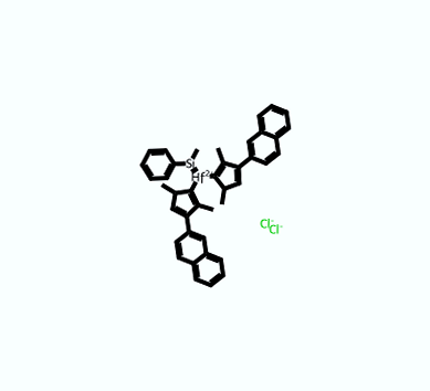 CC1=[C]([Hf+2]([C]2=C(C)C(c3ccc4ccccc4c3)=CC2C)=[Si](C)c2ccccc2)C(C)C=C1c1ccc2ccccc2c1.[Cl-].[Cl-]